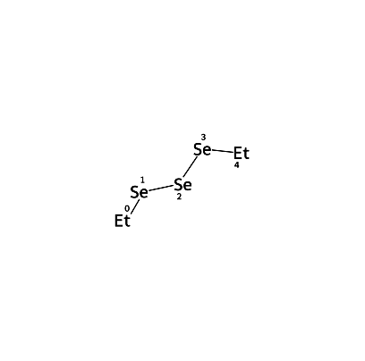 CC[Se][Se][Se]CC